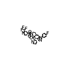 O=C(c1ccccn1)C12Cc3cnn(-c4ccc(F)cc4)c3C=C1CCN(S(=O)(=O)c1ccnc(C(F)(F)F)c1)C2